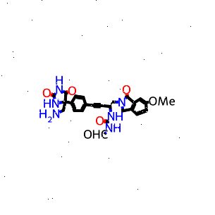 COc1ccc2c(c1)C(=O)N(C[C@@H](C#Cc1ccc(C3(CN)NC(=O)NC3=O)cc1)NC(=O)NC=O)C2